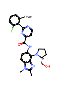 COc1cccc(F)c1-c1nccc(C(=O)Nc2ccc3c(nc(C)n3C)c2N2CCC[C@@H]2CO)n1